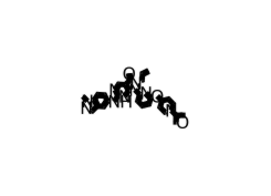 C=CCn1c(=O)c2cnc(Nc3ccc4c(cnn4C)c3)nc2n1-c1cccc(OC2CCN(C3COC3)CC2)n1